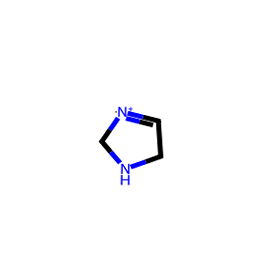 C1=[N+]CNC1